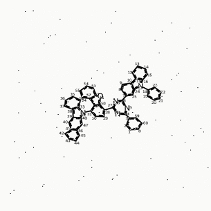 c1ccc(-c2nc(-c3ccc4c5ccccc5n(-c5ccccc5)c4c3)nc(-c3ccc(-n4c5ccccc5c5cc6ccccc6cc54)c4c3oc3ccccc34)n2)cc1